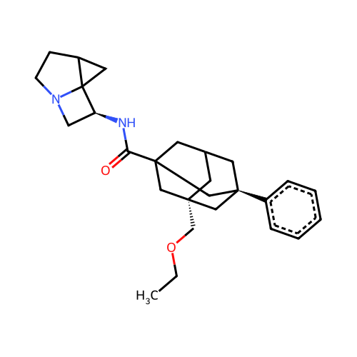 CCOC[C@@]12CC3CC(C(=O)N[C@H]4CN5CCC6CC645)(C1)C[C@](c1ccccc1)(C3)C2